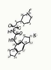 CN1CCCC(CS(=O)(=O)NC(=O)Nc2c3c(cc4c2CCC4)CCC3)C1.[K]